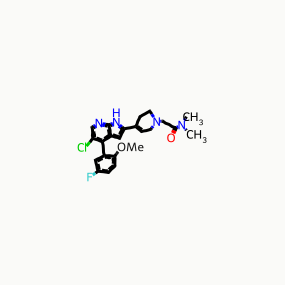 COc1ccc(F)cc1-c1c(Cl)cnc2[nH]c(C3=CCN(CC(=O)N(C)C)CC3)cc12